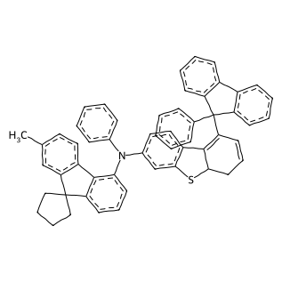 Cc1ccc2c(c1)C1(CCCC1)c1cccc(N(c3ccccc3)c3ccc4c(c3)SC3CC=CC(C5(c6ccccc6)c6ccccc6-c6ccccc65)=C43)c1-2